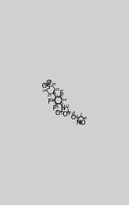 O=C1O[C@@H](COc2ccon2)CN1c1cc(F)c(C2=CCS(=O)(=O)CC2)c(F)c1F